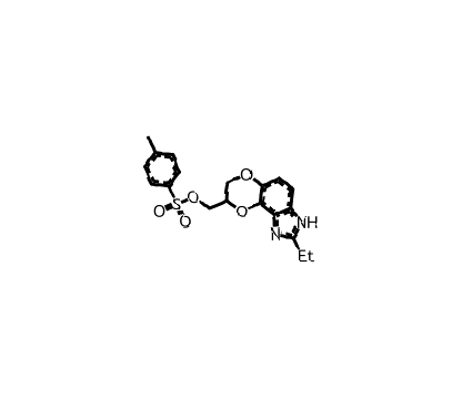 CCc1nc2c3c(ccc2[nH]1)OCC(COS(=O)(=O)c1ccc(C)cc1)O3